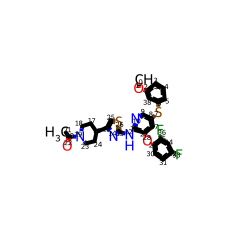 COc1cccc(Sc2cnc(Nc3nc(C4CCN(C(C)=O)CC4)cs3)c(Oc3ccc(F)cc3F)c2)c1